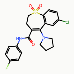 O=C(Nc1ccc(F)cc1)C1=C(N2CCCC2)c2cc(Cl)ccc2S(=O)(=O)CC1